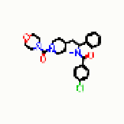 O=C(NC(CC1CCN(C(=O)N2CCOCC2)CC1)c1ccccc1)c1ccc(Cl)cc1